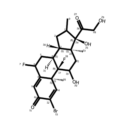 CC1C[C@H]2[C@@H]3CC(F)C4=CC(=O)C(Br)=C[C@]4(C)[C@@]3(F)C(O)C[C@]2(C)[C@@]1(O)C(=O)CO